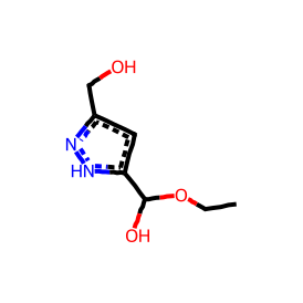 CCOC(O)c1cc(CO)n[nH]1